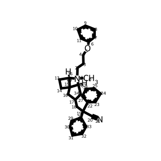 C[N+]1(CCCOc2ccccc2)[C@H]2CCC23CC(CC(C#N)(c2ccccc2)c2ccccc2)C[C@@H]31